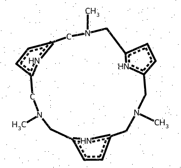 CN1Cc2ccc([nH]2)CN(C)Cc2ccc([nH]2)CN(C)Cc2ccc([nH]2)C1